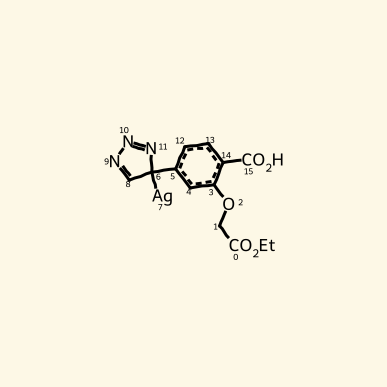 CCOC(=O)COc1cc([C]2([Ag])C=NN=N2)ccc1C(=O)O